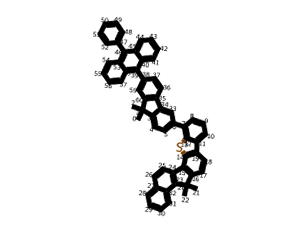 CC1(C)c2ccc(-c3cccc4c3sc3c5c(ccc34)C(C)(C)c3c-5ccc4ccccc34)cc2-c2ccc(-c3c4ccccc4c(-c4ccccc4)c4ccccc34)cc21